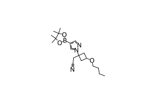 CCCCOC1CC(CC#N)(n2cc(B3OC(C)(C)C(C)(C)O3)cn2)C1